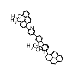 Cc1cccc2ccc3c(-c4ccc(-c5ccc6c(c5)C(C)(C)c5cc(C7CCC8C=CC9=CC=CC%10=CC=C7C8C9%10)c#cc5-6)cn4)ccc(C)c3c12